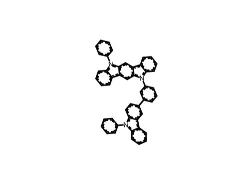 c1ccc(-n2c3ccccc3c3cc(-c4cccc(-n5c6ccccc6c6cc7c(cc65)c5ccccc5n7-c5ccccc5)c4)ccc32)cc1